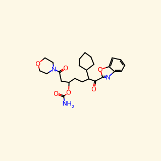 NC(=O)OC(CCC(C(=O)c1nc2ccccc2o1)C1CCCCC1)CC(=O)N1CCOCC1